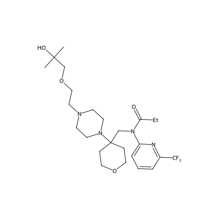 CCC(=O)N(CC1(N2CCN(CCOCC(C)(C)O)CC2)CCOCC1)c1cccc(C(F)(F)F)n1